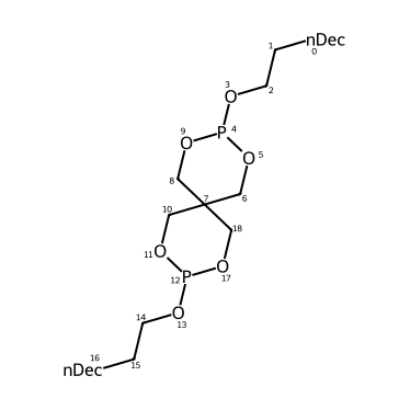 CCCCCCCCCCCCOP1OCC2(CO1)COP(OCCCCCCCCCCCC)OC2